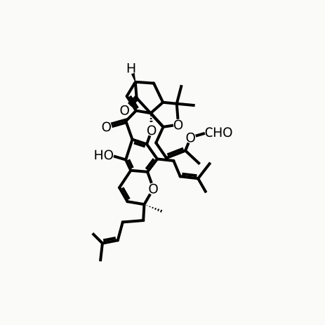 CC(C)=CCC[C@@]1(C)C=Cc2c(O)c3c(c(CC=C(C)C)c2O1)O[C@]12C(=C[C@@H]4CC1C(C)(C)OC2(C/C=C(/C)OC=O)C4=O)C3=O